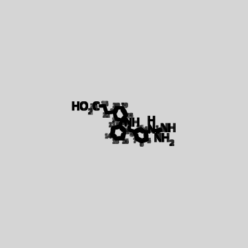 N=C(N)Nc1cccc(CNC2(c3ccccc3)C=CC=C(CCC(=O)O)C2)c1